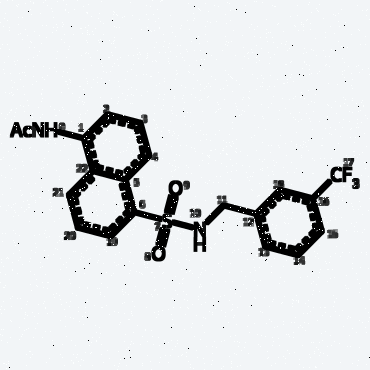 CC(=O)Nc1cccc2c(S(=O)(=O)NCc3cccc(C(F)(F)F)c3)cccc12